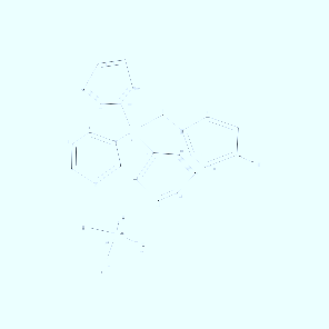 Brc1ccc(C[P+](c2ccccc2)(c2ccccc2)c2ccccc2)cc1.[Br][Fe-]([Br])([Br])[Br]